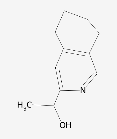 CC(O)c1cc2c(cn1)CCCC2